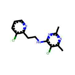 Cc1nc(C)c(Cl)c(NCCc2ncccc2Cl)n1